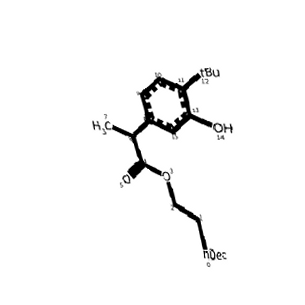 CCCCCCCCCCCCOC(=O)C(C)c1ccc(C(C)(C)C)c(O)c1